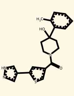 Cc1ccccc1C1(O)CCN(C(=O)c2csc(-c3cn[nH]c3)c2)CC1